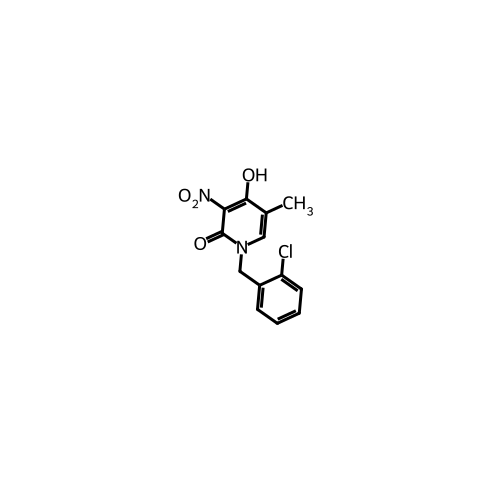 Cc1cn(Cc2ccccc2Cl)c(=O)c([N+](=O)[O-])c1O